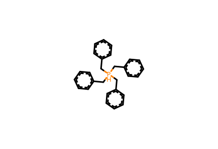 c1ccc(C[PH](Cc2ccccc2)(Cc2ccccc2)Cc2ccccc2)cc1